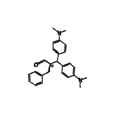 CN(C)c1ccc(C(c2ccc(N(C)C)cc2)[C@H](C=O)Cc2ccccc2)cc1